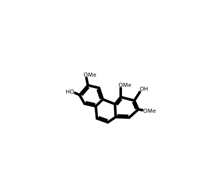 COc1cc2c(ccc3cc(OC)c(O)c(OC)c32)cc1O